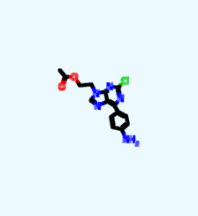 CC(=O)OCCn1cnc2c(-c3ccc(N)cc3)nc(Cl)nc21